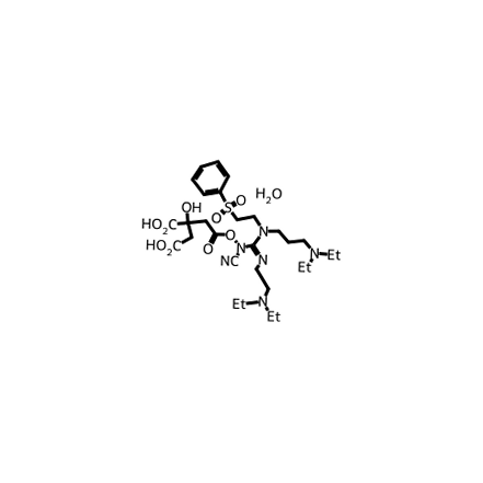 CCN(CC)CCCN(CCS(=O)(=O)c1ccccc1)C(=NCCN(CC)CC)N(C#N)OC(=O)CC(O)(CC(=O)O)C(=O)O.O